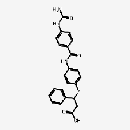 NC(=O)Nc1ccc(C(=O)Nc2ccc(SC(CC(=O)O)c3ccccc3)cc2)cc1